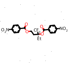 CC[C@@](CCOC(=O)c1ccc([N+](=O)[O-])cc1)(OC(=O)c1ccc([N+](=O)[O-])cc1)C(F)(F)F